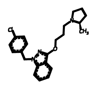 C[C@@H]1CCCN1CCCOc1nn(Cc2ccc(Cl)cc2)c2ccccc12